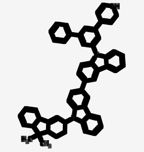 CC1(C)C2CCC(n3c4ccccc4c4cc(-c5ccc6c(c5)c5ccccc5n6-c5cc(C6=CCNC=C6)cc(-c6ccccc6)c5)ccc43)C=C2C2C=CC=CC21